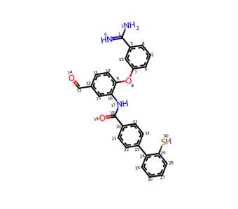 N=C(N)c1cccc(Oc2ccc(C=O)cc2NC(=O)c2ccc(-c3ccccc3S)cc2)c1